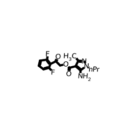 CCCn1nc(C)c(C(=O)OCC(=O)c2c(F)cccc2F)c1N